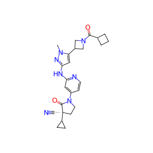 Cn1nc(Nc2cc(N3CC[C@@](C#N)(C4CC4)C3=O)ccn2)cc1C1CN(C(=O)C2CCC2)C1